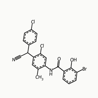 Cc1cc(C(C#N)c2ccc(Cl)cc2)c(Cl)cc1NC(=O)c1cccc(Br)c1O